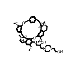 COc1ccc2cc1Oc1ccc(cc1)CC[C@H]1c3cc(c(OC)cc3CCN1C)Oc1c(OCC(O)CN3CCN(CCO)CC3)c(OC)cc3c1[C@H](C2)N(C)CC3